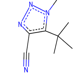 Cn1nnc(C#N)c1C(C)(C)C